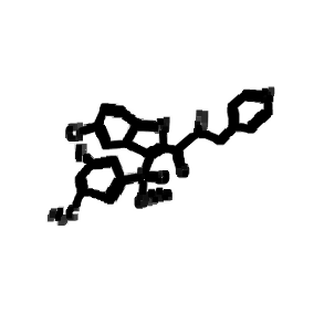 COP(=O)(C1=C(C(=O)NCc2ccncc2)N=C2C=CC(Cl)=CC21)c1cc(C)cc(F)c1